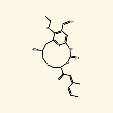 C=C(/C=C(F)\C=C/C)[C@H]1COC[C@@H](O)Cc2nc(cc(C=N)c2NCC)NC(=O)N1